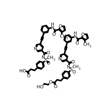 Cc1ccoc1C(=O)Nc1cccc(C#Cc2cncc(C(=O)N=S(C)(=O)c3ccc(CCC(=O)O)cc3)c2)c1.Cc1ccoc1C(=O)Nc1cccc(C#Cc2cncc(C(=O)N=S(C)(=O)c3ccc(CCC(=O)OCCO)cc3)c2)c1